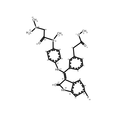 COC(=O)Cc1cccc(/C(Nc2ccc(N(C)C(=O)CN(C)C)cc2)=C2/C(=O)Nc3cc(F)ccc32)c1